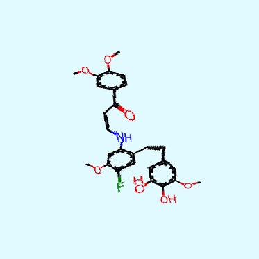 COc1cc(N/C=C\C(=O)c2ccc(OC)c(OC)c2)c(/C=C\c2cc(O)c(O)c(OC)c2)cc1F